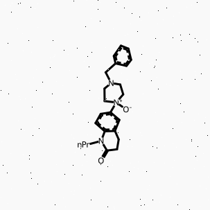 CCCN1C(=O)CCc2cc([N+]3([O-])CCN(Cc4ccccc4)CC3)ccc21